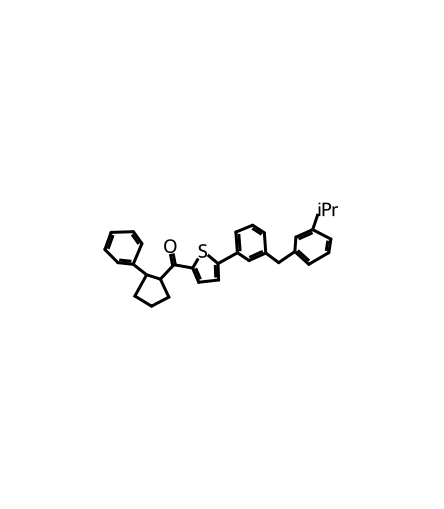 CC(C)c1cccc(Cc2cccc(-c3ccc(C(=O)C4CCCC4c4ccccc4)s3)c2)c1